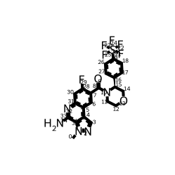 Cn1ncc2c3cc(C(=O)N4CCOC[C@@H]4c4ccc(S(F)(F)(F)(F)F)cc4)c(F)cc3nc(N)c21